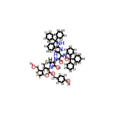 COCc1sccc1C1=C(C(=O)OCc2ccc(OC)cc2)N2C(=O)[C@@H](NC(=O)/C(=N\OC(c3ccccc3)(c3ccccc3)c3ccccc3)c3csc(NC(c4ccccc4)(c4ccccc4)c4ccccc4)n3)[C@H]2SC1